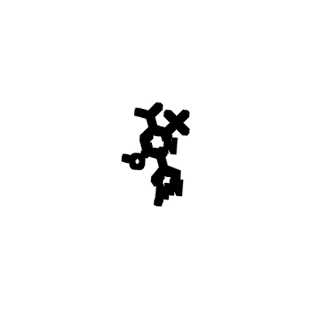 COc1cc(C(C)C)c(C(C)(C)C)nc1-c1cnn(C)c1